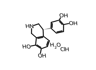 Cl.O.Oc1ccc([C@H]2CNCc3c2ccc(O)c3O)cc1O